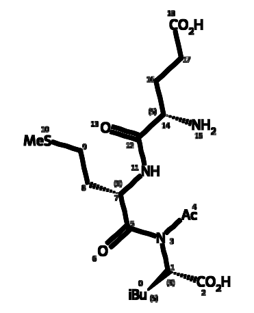 CC[C@H](C)[C@@H](C(=O)O)N(C(C)=O)C(=O)[C@H](CCSC)NC(=O)[C@@H](N)CCC(=O)O